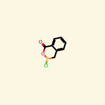 O=C1OP(Cl)Cc2ccccc21